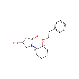 O=C1CC(O)CN1[C@@H]1CCCC[C@@H]1OCCc1ccccc1